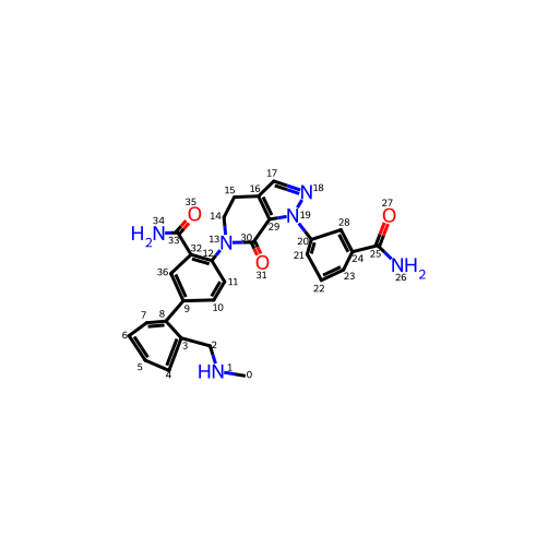 CNCc1ccccc1-c1ccc(N2CCc3cnn(-c4cccc(C(N)=O)c4)c3C2=O)c(C(N)=O)c1